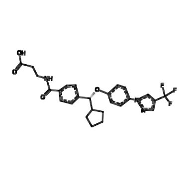 O=C(O)CCNC(=O)c1ccc([C@H](Oc2ccc(-n3cc(C(F)(F)F)cn3)cc2)C2CCCC2)cc1